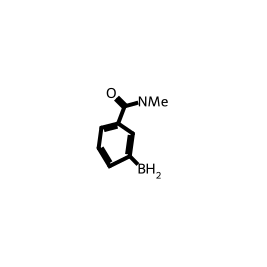 Bc1cccc(C(=O)NC)c1